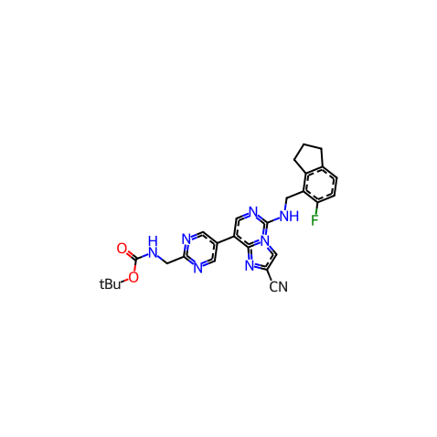 CC(C)(C)OC(=O)NCc1ncc(-c2cnc(NCc3c(F)ccc4c3CCC4)n3cc(C#N)nc23)cn1